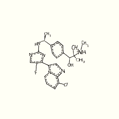 CNC(C)(C)C(O)c1ccc([C@H](C)Nc2ncc(F)c(-c3cnc4c(Cl)cccn34)n2)cc1